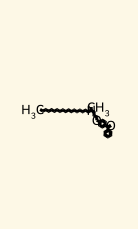 CCCCCCCCCCCCCCCCCCN(C)CCCOc1ccc(C(=O)c2ccccc2)cc1